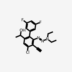 C#Cc1c(Cl)cc(C(C)O)c(-c2cc(F)cc(F)c2)c1N=NN(CC)CC